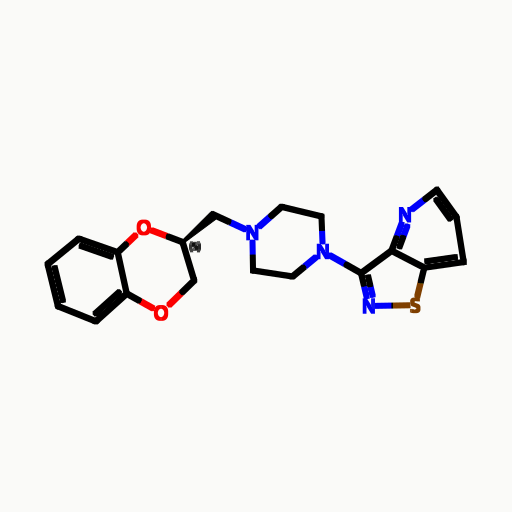 c1ccc2c(c1)OC[C@H](CN1CCN(c3nsc4cccnc34)CC1)O2